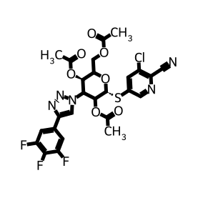 CC(=O)OCC1O[C@H](Sc2cnc(C#N)c(Cl)c2)C(OC(C)=O)C(n2cc(-c3cc(F)c(F)c(F)c3)nn2)[C@H]1OC(C)=O